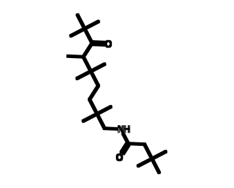 CC(C(=O)C(C)(C)C)C(C)(C)CCC(C)(C)CNC(=O)CC(C)(C)C